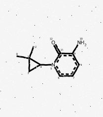 CC1(C)CC1n1cccc(N)c1=O